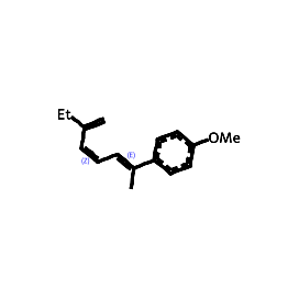 C=C(/C=C\C=C(/C)c1ccc(OC)cc1)CC